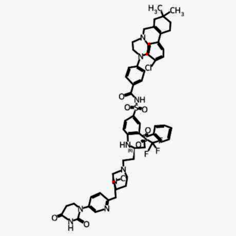 CC1(C)CCC(c2ccc(Cl)cc2)=C(CN2CCN(c3ccc(C(=O)NS(=O)(=O)c4ccc(N[C@H](CCN5CC6CCC5CN6Cc5ccc(N6CCC(=O)NC6=O)cn5)CSc5ccccc5)c(S(=O)(=O)C(F)(F)F)c4)cc3)CC2)C1